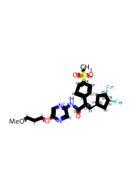 COCCCOc1cnc(NC(=O)/C(=C/[C@H]2C[C@@H](F)[C@@H](F)C2)c2ccc(S(C)(=O)=O)cc2)cn1